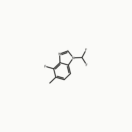 Cc1ccc2c(n[c]n2C(F)F)c1F